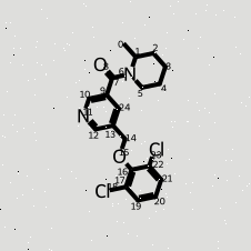 CC1CCCCN1C(=O)c1cncc(COc2c(Cl)cccc2Cl)c1